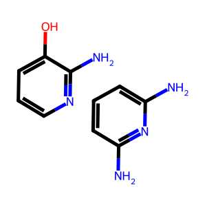 Nc1cccc(N)n1.Nc1ncccc1O